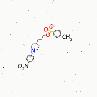 Cc1ccc(S(=O)(=O)OCCCC2CCN(c3ccc([N+](=O)[O-])cc3)CC2)cc1